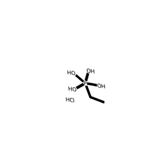 CCP(O)(O)(O)O.Cl